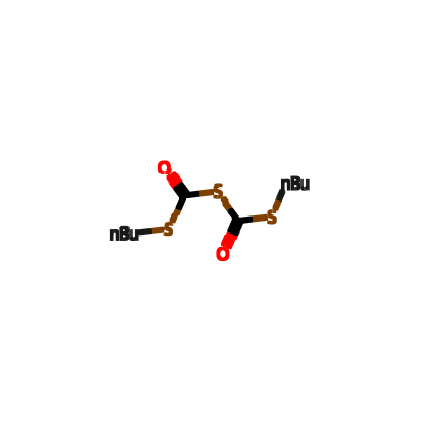 CCCCSC(=O)SC(=O)SCCCC